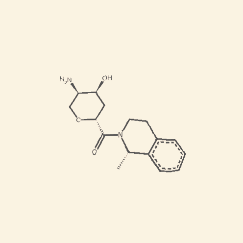 C[C@H]1c2ccccc2CCN1C(=O)[C@H]1C[C@H](O)[C@H](N)CO1